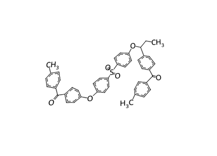 CCC(Oc1ccc(S(=O)(=O)c2ccc(Oc3ccc(C(=O)c4ccc(C)cc4)cc3)cc2)cc1)c1ccc(C(=O)c2ccc(C)cc2)cc1